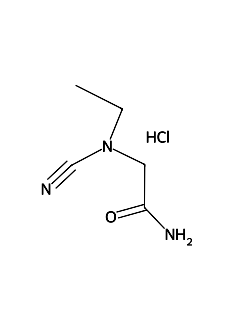 CCN(C#N)CC(N)=O.Cl